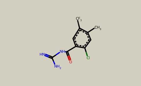 Cc1cc(Cl)c(C(=O)NC(=N)N)cc1C(F)(F)F